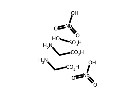 NCC(=O)O.NCC(=O)O.O=S(=O)(O)O.[O]=[Nb](=[O])[OH].[O]=[Nb](=[O])[OH]